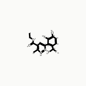 CCOC(=O)c1cc(-c2c(C(F)F)ccc(Cl)c2F)nnc1C